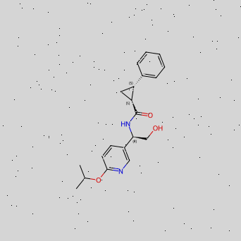 CC(C)Oc1ccc([C@H](CO)NC(=O)[C@H]2C[C@@H]2c2ccccc2)cn1